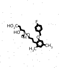 Cc1cc(C)c(CCCO[PH](=O)C[C@@H](O)CC(=O)O)c(OCc2ccc(F)cc2)c1